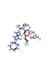 C=CC(=CC(/C=C/Cl)OCC)N(C)C(=O)N1CC2(C1)CN(C1=NC=CCC=N1)C2